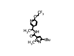 CC(NC(=O)c1cc(C(C)(C)C)nn1C)c1ccc(OCC(F)(F)F)nc1